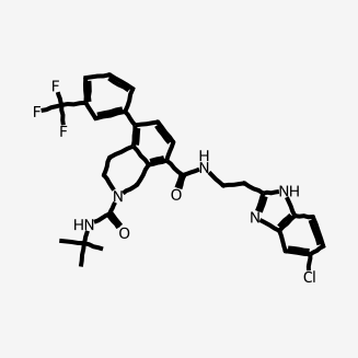 CC(C)(C)NC(=O)N1CCc2c(-c3cccc(C(F)(F)F)c3)ccc(C(=O)NCCc3nc4cc(Cl)ccc4[nH]3)c2C1